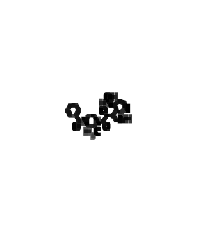 C[C@@H]1CN(C(=O)c2ccccc2)CCN1C(=O)C(=O)c1c[nH]c2nccc(NO)c12